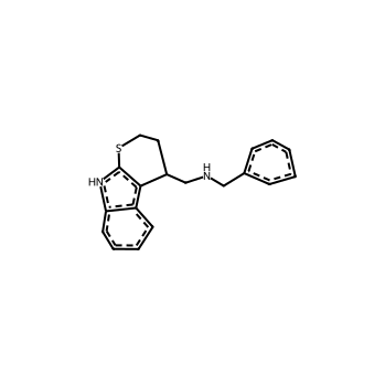 c1ccc(CNCC2CCSc3[nH]c4ccccc4c32)cc1